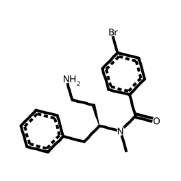 CN(C(=O)c1ccc(Br)cc1)[C@H](CCN)Cc1ccccc1